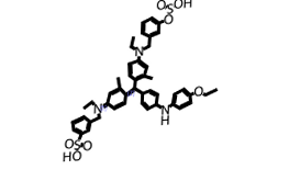 CCOc1ccc(NC2C=CC(/C(=C3C=C/C(=[N+](/CC)Cc4cccc(S(=O)(=O)O)c4)C=C\3C)c3ccc(N(CC)Cc4cccc(OS(=O)O)c4)cc3C)C=C2)cc1